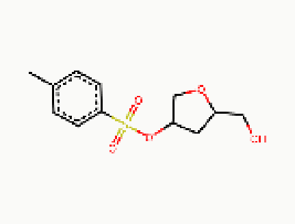 Cc1ccc(S(=O)(=O)OC2COC(CO)C2)cc1